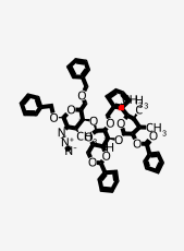 CCC1O[C@H](O[C@@H]2C(OCc3ccccc3)[C@H](O[C@@H]3C(COCc4ccccc4)O[C@@H](OCc4ccccc4)C(N=[N+]=[N-])[C@H]3C)OC3COC(c4ccccc4)O[C@H]32)C(OC(=O)c2ccccc2)C(C)[C@@H]1C